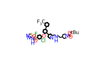 CC(C)(C)OC(=O)N1CCC(CCNCc2cc(-c3cc(-c4cccc(C(F)(F)F)c4)ccc3Oc3cc(F)c(S(=O)(=O)Nc4nncs4)cc3Cl)ccn2)CC1